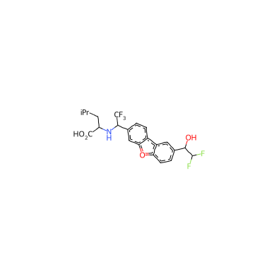 CC(C)CC(NC(c1ccc2c(c1)oc1ccc(C(O)C(F)F)cc12)C(F)(F)F)C(=O)O